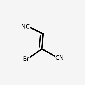 N#CC=C(Br)C#N